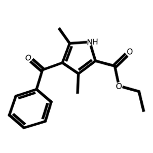 CCOC(=O)c1[nH]c(C)c(C(=O)c2ccccc2)c1C